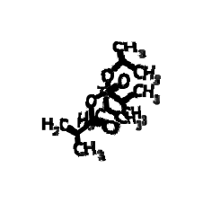 C=C(C)C(=O)[O][Ti](=[O])([O]C(C)C)([CH](C)C)[CH](C)C